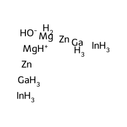 [GaH3].[GaH3].[InH3].[InH3].[MgH+].[MgH2].[OH-].[Zn].[Zn]